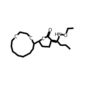 CCCC(NOCC)=C1CCC(C2CCCCCCCCCCC2)CC1=O